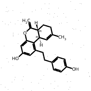 C=C1Oc2cc(O)cc(CCc3ccc(O)cc3)c2[C@@H]2C=C(C)CC[C@@H]12